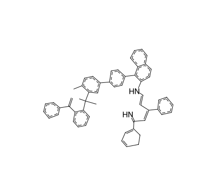 C=C(c1ccccc1)c1ccccc1C(C)(C)c1cc(-c2ccc(-c3c(N/C=C/C(=C\C(=N)C4=CC=CCC4)c4ccccc4)ccc4ccccc34)cc2)ccc1C